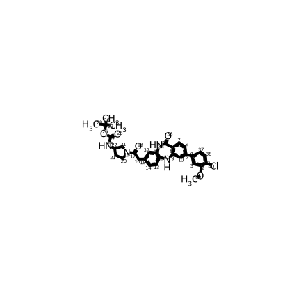 COc1cc(-c2ccc3c(c2)Nc2ccc(CC(=O)N4CCC(NC(=O)OC(C)(C)C)C4)cc2NC3=O)ccc1Cl